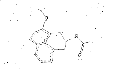 COc1ccc2cccc3c2c1CC(NC(C)=O)C3